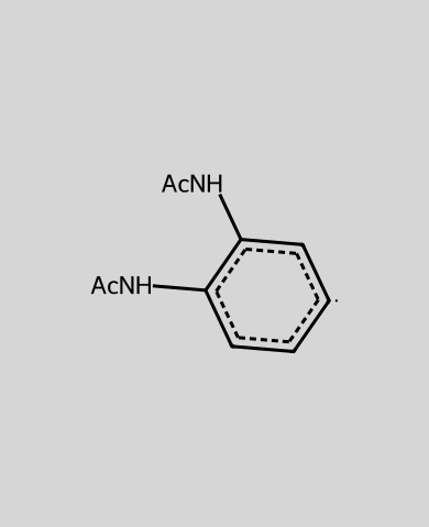 CC(=O)Nc1c[c]ccc1NC(C)=O